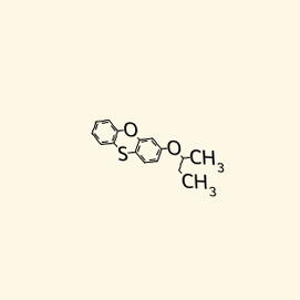 CCC(C)Oc1ccc2c(c1)Oc1ccccc1S2